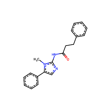 Cn1c(-c2ccccc2)cnc1NC(=O)CCc1ccccc1